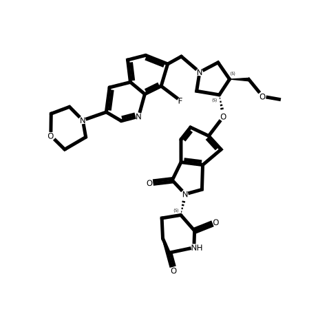 COC[C@@H]1CN(Cc2ccc3cc(N4CCOCC4)cnc3c2F)C[C@H]1Oc1ccc2c(c1)CN([C@H]1CCC(=O)NC1=O)C2=O